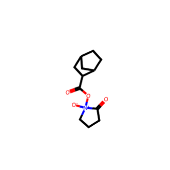 O=C(O[N+]1([O-])CCCC1=O)C1CC2CCC1C2